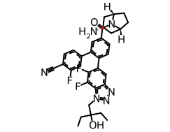 CCC(O)(CC)Cn1nnc2cc(-c3ccc(C(=O)N4[C@@H]5CC[C@H]4C[C@@H](N)C5)cc3-c3ccc(C#N)c(F)c3)c(F)c(F)c21